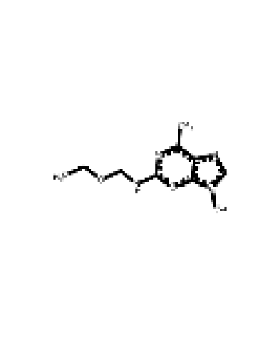 CC(C)(C)n1cnc2c(N)nc(NCOCN)nc21